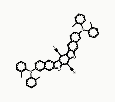 Cc1ccccc1N(c1ccc2cc3c(cc2c1)oc1c(C#N)c2oc4cc5cc(N(c6ccccc6C)c6ccccc6C)ccc5cc4c2c(C#N)c13)c1ccccc1C